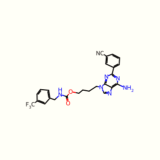 N#Cc1cccc(-c2nc(N)c3ncn(CCCCOC(=O)NCc4cccc(C(F)(F)F)c4)c3n2)c1